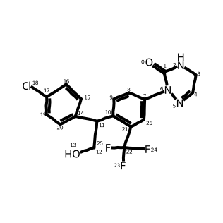 O=C1NCC=NN1c1ccc(C(CO)c2ccc(Cl)cc2)c(C(F)(F)F)c1